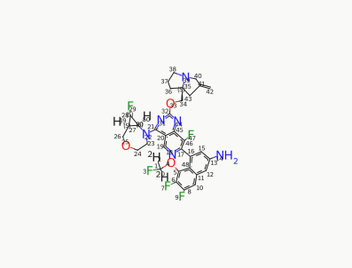 [2H]C([2H])(F)Oc1c(F)c(F)cc2cc(N)cc(-c3ncc4c(N5CCOC[C@H]6[C@H](F)[C@H]65)nc(OC[C@@]56CCCN5CC(=C)C6)nc4c3F)c12